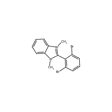 Cn1c(-c2c(Br)cccc2Br)[n+](C)c2ccccc21